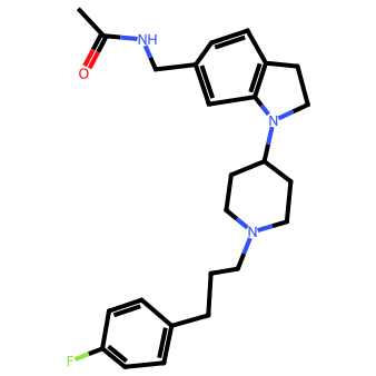 CC(=O)NCc1ccc2c(c1)N(C1CCN(CCCc3ccc(F)cc3)CC1)CC2